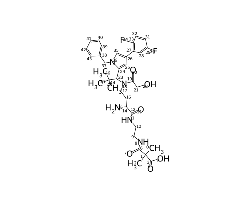 CC(C)(C(=O)O)C(=O)NCCNC(=O)C(N)CCN(C(=O)CO)C(c1cc(-c2cc(F)ccc2F)cn1Cc1ccccc1)C(C)(C)C